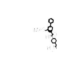 CSCC12CC3CC(c4ccccc4)(CC1C3C(=O)NC1CCC(CN)CC1)C2